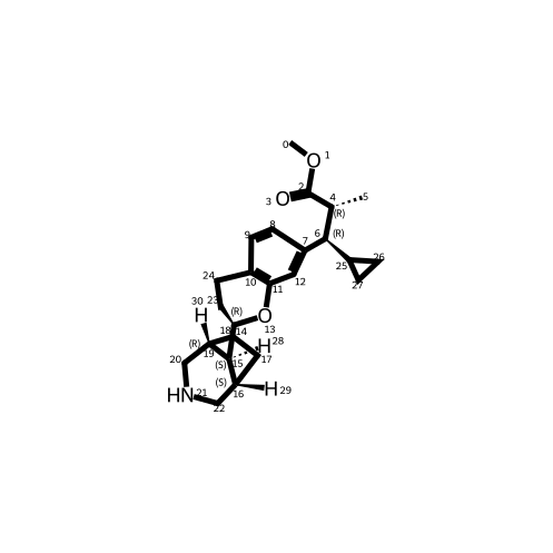 COC(=O)[C@H](C)[C@H](c1ccc2c(c1)O[C@@H]([C@H]1[C@@H]3CC[C@H]1CNC3)CC2)C1CC1